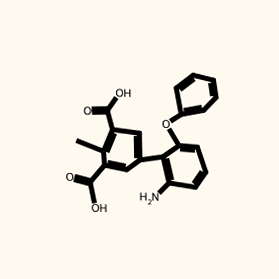 Cc1c(C(=O)O)cc(-c2c(N)cccc2Oc2ccccc2)cc1C(=O)O